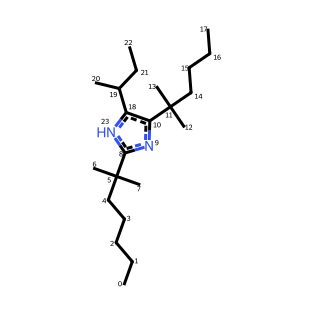 CCCCCC(C)(C)c1nc(C(C)(C)CCCC)c(C(C)CC)[nH]1